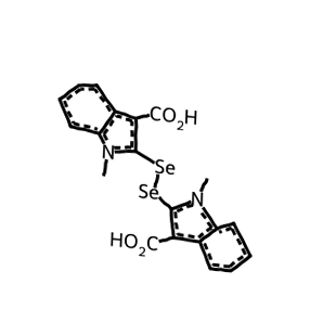 Cn1c([Se][Se]c2c(C(=O)O)c3ccccc3n2C)c(C(=O)O)c2ccccc21